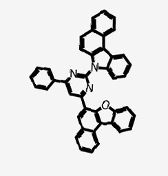 c1ccc(-c2cc(-c3cc4ccccc4c4c3oc3ccccc34)nc(-n3c4ccccc4c4c5ccccc5ccc43)n2)cc1